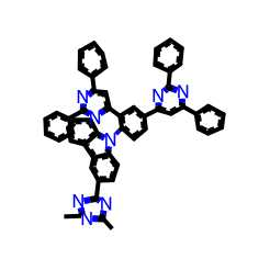 Cc1nc(C)nc(-c2ccc3c(c2)c2ccccc2n3-c2ccc(-c3cc(-c4ccccc4)nc(-c4ccccc4)n3)cc2-c2cc(-c3ccccc3)nc(-c3ccccc3)n2)n1